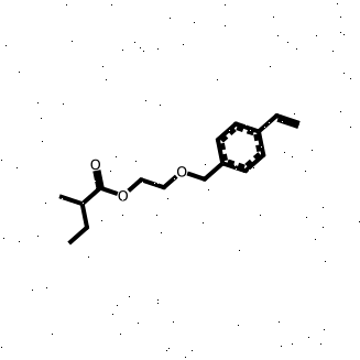 C=Cc1ccc(COCCOC(=O)C(C)CC)cc1